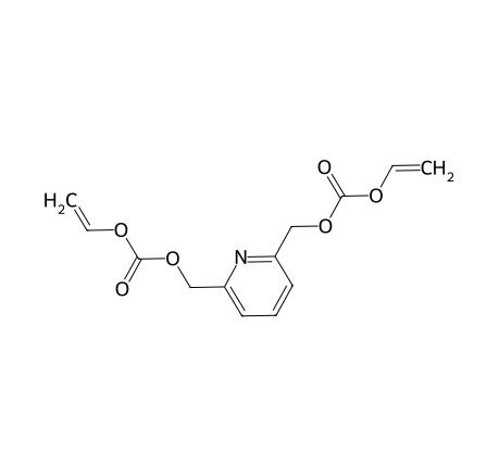 C=COC(=O)OCc1cccc(COC(=O)OC=C)n1